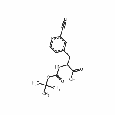 CC(C)(C)OC(=O)NC(Cc1ccnc(C#N)c1)C(=O)O